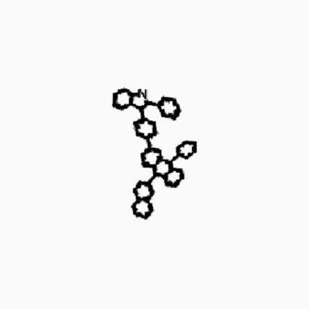 c1ccc(C2=Nc3ccccc3C2c2ccc(-c3ccc4c(-c5ccc6ccccc6c5)c5ccccc5c(-c5ccccc5)c4c3)cc2)cc1